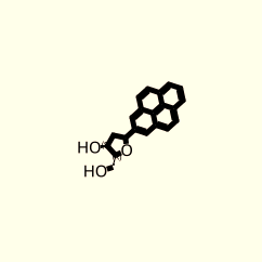 OC[C@H]1OC(c2cc3ccc4cccc5ccc(c2)c3c45)C[C@@H]1O